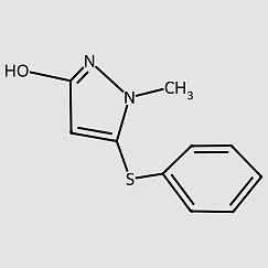 Cn1nc(O)cc1Sc1ccccc1